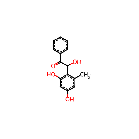 [CH2]c1cc(O)cc(O)c1C(O)C(=O)c1ccccc1